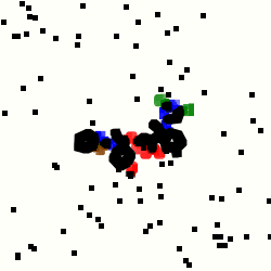 COc1ccc2c(c1)c(OC(=O)CC(C(=O)O)c1c(C)n(-c3cc(Cl)nc(Cl)n3)c3ccc(C)cc13)c(C)n2-c1nc2ccccc2s1